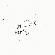 CC1CCC(N)(C(=O)O)C1